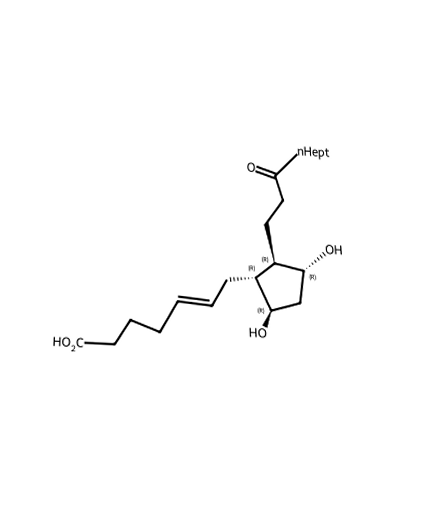 CCCCCCCC(=O)CC[C@@H]1[C@@H](CC=CCCCC(=O)O)[C@H](O)C[C@H]1O